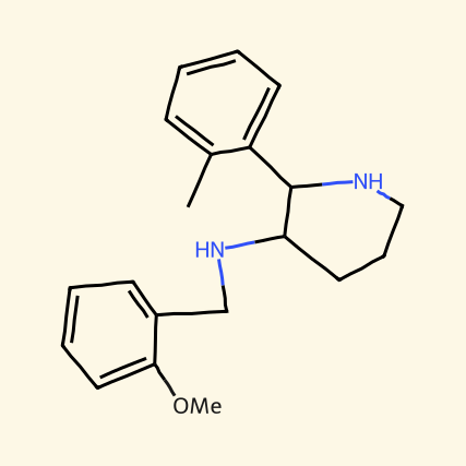 COc1ccccc1CNC1CCCNC1c1ccccc1C